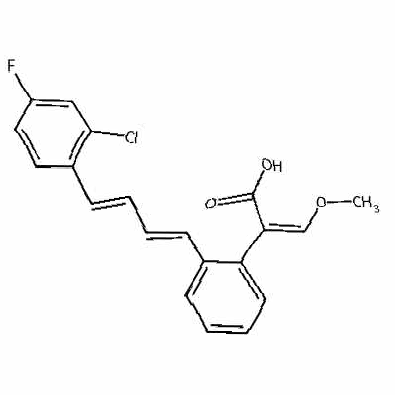 COC=C(C(=O)O)c1ccccc1C=CC=Cc1ccc(F)cc1Cl